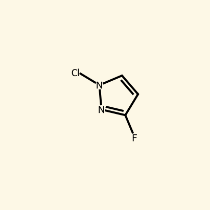 Fc1ccn(Cl)n1